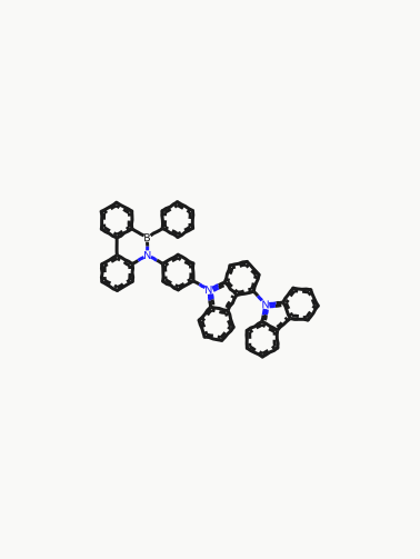 c1ccc(B2c3ccccc3-c3ccccc3N2c2ccc(-n3c4ccccc4c4c(-n5c6ccccc6c6ccccc65)cccc43)cc2)cc1